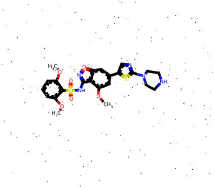 COc1cccc(OC)c1S(=O)(=O)Nc1noc2cc(-c3cnc(N4CCNCC4)s3)cc(OC)c12